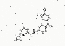 O=C(c1ccc(Cl)c(Cl)c1)N1CCC(CNCc2cccc(N3CCC3)n2)CC1